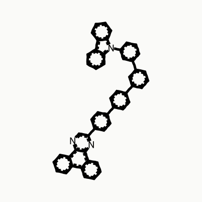 c1cc(-c2ccc(-c3ccc(-c4cnc5c6ccccc6c6ccccc6c5n4)cc3)cc2)cc(-c2cccc(-n3c4ccccc4c4ccccc43)c2)c1